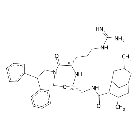 CC1CC2CC(C)C(C(=O)NC[C@@H]3CCN(CC(c4ccccc4)c4ccccc4)C(=O)[C@H](CCCNC(=N)N)N3)C(C1)C2